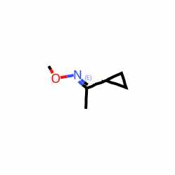 CO/N=C(\C)[C]1CC1